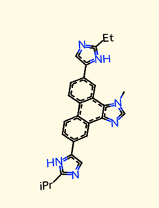 CCc1ncc(-c2ccc3c4ccc(-c5cnc(C(C)C)[nH]5)cc4c4ncn(C)c4c3c2)[nH]1